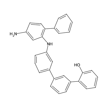 Nc1ccc(-c2ccccc2)c(Nc2cccc(-c3cccc(-c4ccccc4O)c3)c2)c1